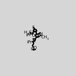 Cc1ncc2c(-c3ccc(F)cc3C(=O)N(C)C(C)C)cc(C3CN(C(CCC4OCCO4)C(C)C)C3)cn12